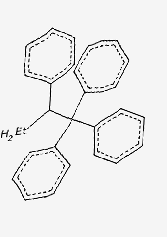 CCC(c1ccccc1)C(c1ccccc1)(c1ccccc1)c1ccccc1.[BaH2]